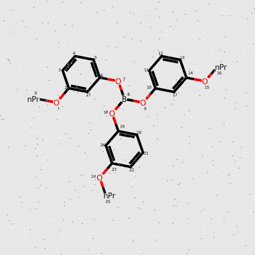 CCCOc1cccc(OB(Oc2cccc(OCCC)c2)Oc2cccc(OCCC)c2)c1